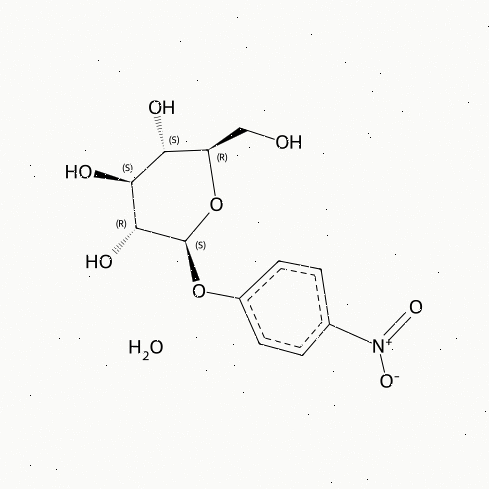 O.O=[N+]([O-])c1ccc(O[C@@H]2O[C@H](CO)[C@@H](O)[C@H](O)[C@H]2O)cc1